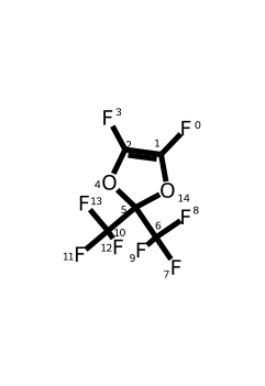 FC1=C(F)OC(C(F)(F)F)(C(F)(F)F)O1